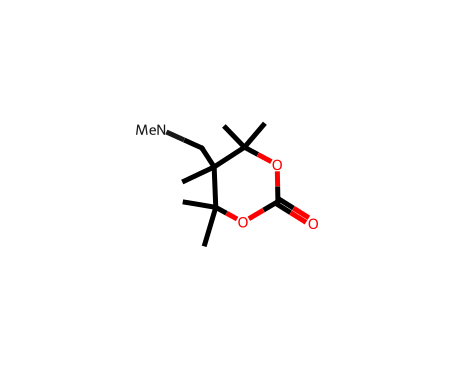 CNCC1(C)C(C)(C)OC(=O)OC1(C)C